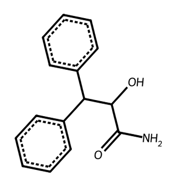 NC(=O)C(O)C(c1ccccc1)c1ccccc1